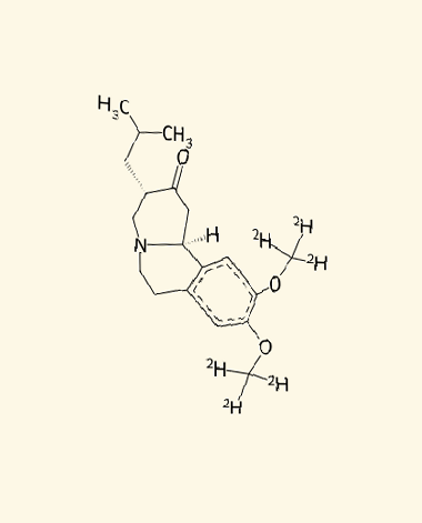 [2H]C([2H])([2H])Oc1cc2c(cc1OC([2H])([2H])[2H])[C@@H]1CC(=O)[C@@H](CC(C)C)CN1CC2